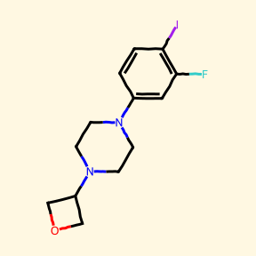 Fc1cc(N2CCN(C3COC3)CC2)ccc1I